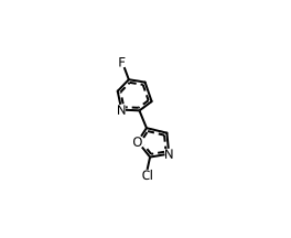 Fc1ccc(-c2cnc(Cl)o2)nc1